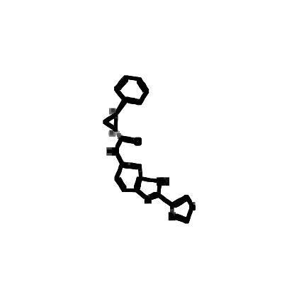 O=C(Nc1ccc2nc(-c3cscn3)[nH]c2c1)[C@@H]1C[C@H]1c1ccccc1